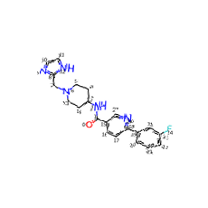 O=C(NC1CCN(Cc2ncc[nH]2)CC1)c1ccc(-c2cccc(F)c2)nc1